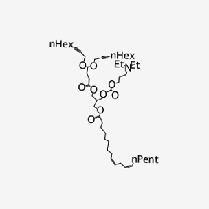 CCCCC/C=C\C/C=C\CCCCCCCC(=O)OCC(COC(=O)CCC(OCC#CCCCCCC)OCC#CCCCCCC)COC(=O)OCCCN(CC)CC